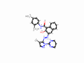 [C-]#[N+]c1cnn(-c2ncccn2)c1/N=N/c1cc2ccccc2c(C(=O)Nc2ccc(C(=O)O)cc2C(=O)O)c1O